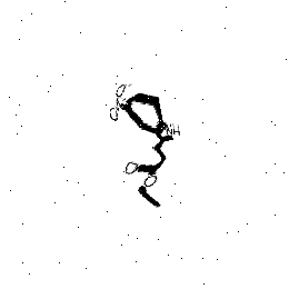 CCOC(=O)CCc1c[nH]c2ccc([N+](=O)[O-])cc12